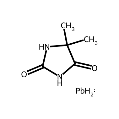 CC1(C)NC(=O)NC1=O.[PbH2]